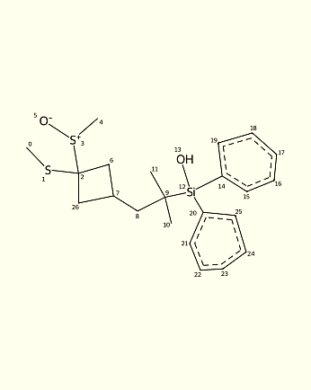 CSC1([S+](C)[O-])CC(CC(C)(C)[Si](O)(c2ccccc2)c2ccccc2)C1